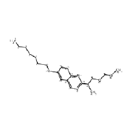 CCCCCCCOc1ccc2nc(C(C)COCOC)ncc2c1